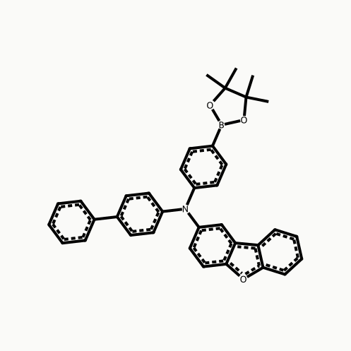 CC1(C)OB(c2ccc(N(c3ccc(-c4ccccc4)cc3)c3ccc4oc5ccccc5c4c3)cc2)OC1(C)C